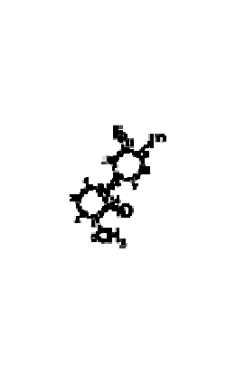 Cc1cccn(-c2ccc(I)c(F)c2)c1=O